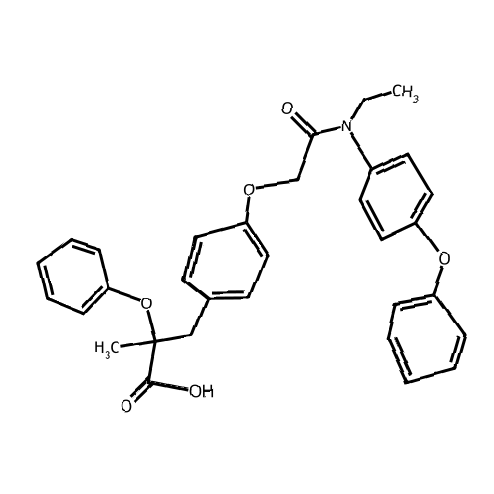 CCN(C(=O)COc1ccc(CC(C)(Oc2ccccc2)C(=O)O)cc1)c1ccc(Oc2ccccc2)cc1